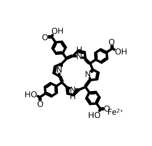 O=C(O)c1ccc(-c2c3nc(c(-c4ccc(C(=O)O)cc4)c4ccc([nH]4)c(-c4ccc(C(=O)O)cc4)c4nc(c(-c5ccc(C(=O)O)cc5)c5ccc2[nH]5)C=C4)C=C3)cc1.[Fe+2]